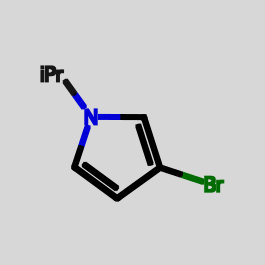 CC(C)n1ccc(Br)c1